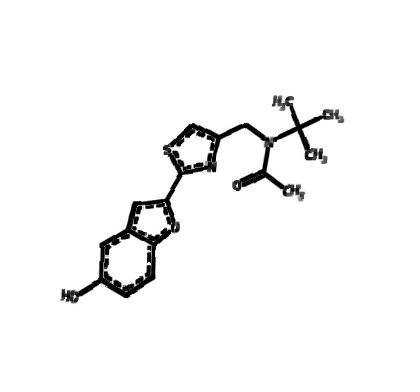 CC(=O)N(Cc1csc(-c2cc3cc(O)ccc3o2)n1)C(C)(C)C